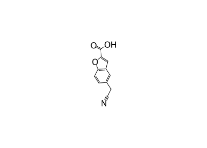 N#CCc1ccc2oc(C(=O)O)cc2c1